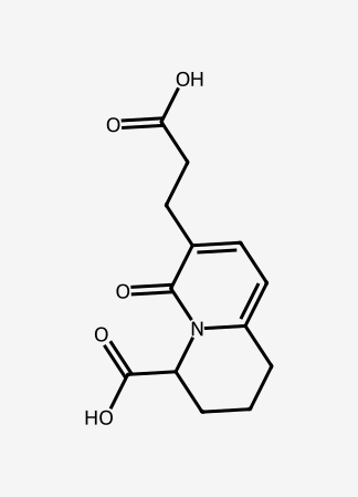 O=C(O)CCc1ccc2n(c1=O)C(C(=O)O)CCC2